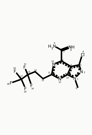 Cn1nc(Cl)c2c(C(=N)N)nc(CCC(F)(F)C(F)(F)F)nc21